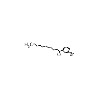 CCCCCCCCCCC(=O)c1cccc(Br)c1